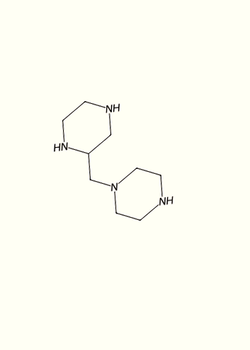 C1CN(CC2CNCCN2)CCN1